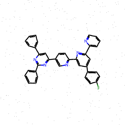 Fc1ccc(-c2cc(-c3ccccn3)nc(-c3ccc(-c4cc(-c5ccccc5)nc(-c5ccccc5)n4)cn3)c2)cc1